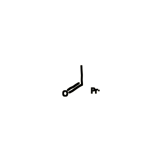 CC=O.[Pr]